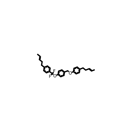 C/C=C/CCc1ccc(OCc2ccc(OC(F)(F)c3ccc(CC/C=C/C)cc3)cc2)cc1